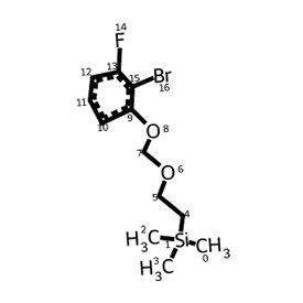 C[Si](C)(C)CCOCOc1cccc(F)c1Br